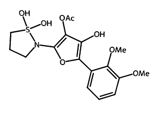 COc1cccc(-c2oc(N3CCCS3(O)O)c(OC(C)=O)c2O)c1OC